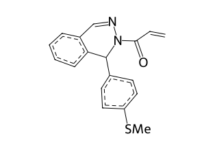 C=CC(=O)N1N=Cc2ccccc2C1c1ccc(SC)cc1